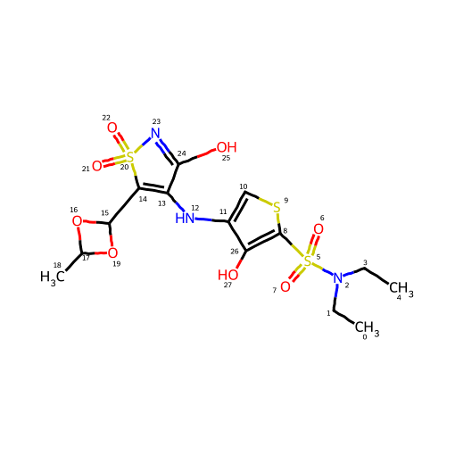 CCN(CC)S(=O)(=O)c1scc(NC2=C(C3OC(C)O3)S(=O)(=O)N=C2O)c1O